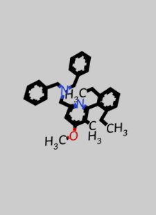 CCc1cccc(CC)c1-c1nc(CN(Cc2ccccc2)Cc2ccccc2)cc(OC)c1C